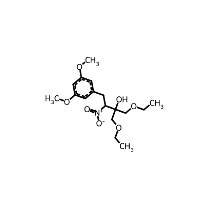 CCOCC(O)(COCC)C(Cc1cc(OC)cc(OC)c1)[N+](=O)[O-]